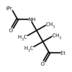 CCC(=O)C(C)(C)C(C)(C)NC(=O)C(C)C